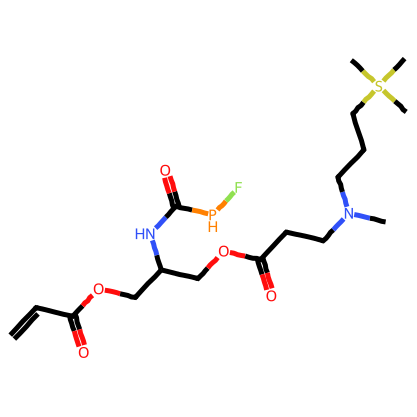 C=CC(=O)OCC(COC(=O)CCN(C)CCCS(C)(C)C)NC(=O)PF